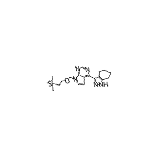 C[Si](C)(C)CCOCn1ccc2c(-c3n[nH]c4c3CCCC4)ncnc21